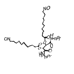 CCCNC(=O)[C@H](OC(=O)CCCCCCCCCN=O)[C@@H](OC(=O)CCCCCCCCCN=O)C(=O)NCCC